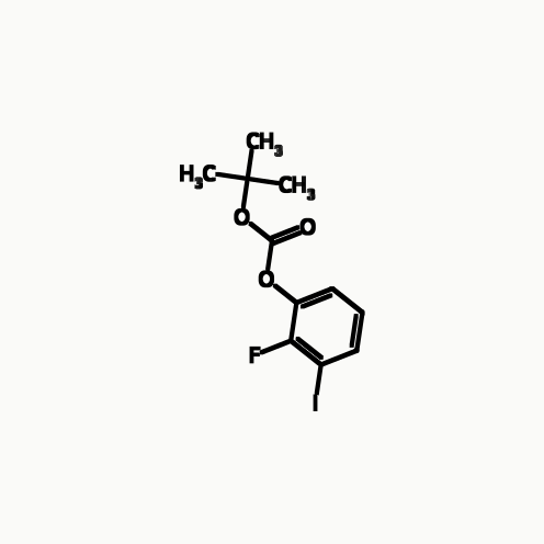 CC(C)(C)OC(=O)Oc1cccc(I)c1F